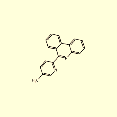 Cc1ccc(-c2nc3ccccc3c3ccccc23)nc1